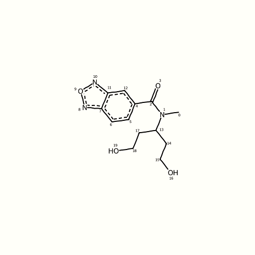 CN(C(=O)c1ccc2nonc2c1)C(CCO)CCO